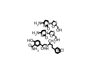 CC(CCc1ccccc1)NCC(O)c1ccc(O)c(C(N)=O)c1.Cl.Nc1ccn([C@H]2CS[C@@H](CO)O2)c(=O)n1.Nc1ccn([C@H]2CS[C@@H](CO)O2)c(=O)n1